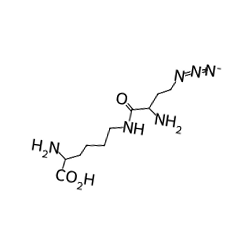 [N-]=[N+]=NCCC(N)C(=O)NCCCCC(N)C(=O)O